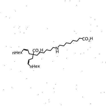 CCCCCC/C=C\CC(C/C=C\CCCCCC)(CCCCCCNCCCCCCCC(=O)O)C(=O)O